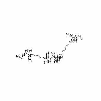 N=C(N)NCCCCCCCNC(=N)NC(=N)NCCCCCCNC(=N)N